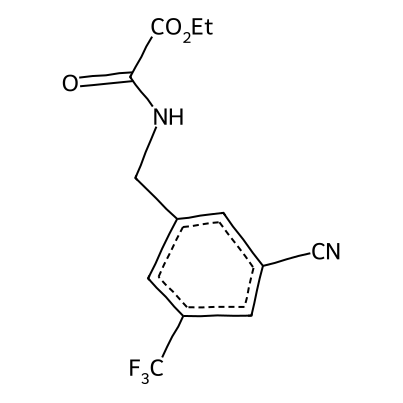 CCOC(=O)C(=O)NCc1cc(C#N)cc(C(F)(F)F)c1